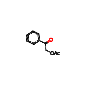 CC(=O)OCC(=O)c1cc#ccc1